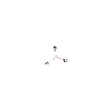 CC[CH]P(CC)CC